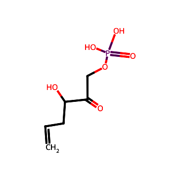 C=CCC(O)C(=O)COP(=O)(O)O